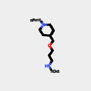 CCCCCCCCNCCCOCC1CCN(CCCCC)CC1